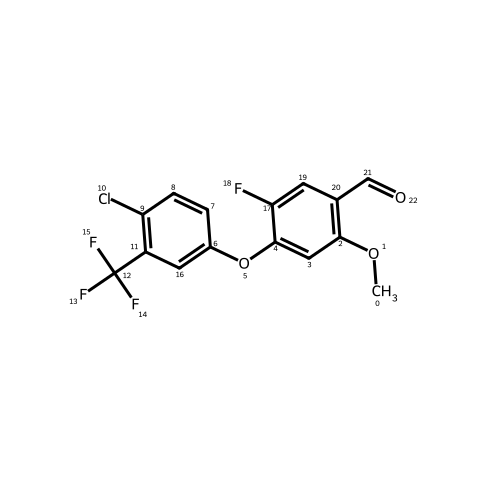 COc1cc(Oc2ccc(Cl)c(C(F)(F)F)c2)c(F)cc1C=O